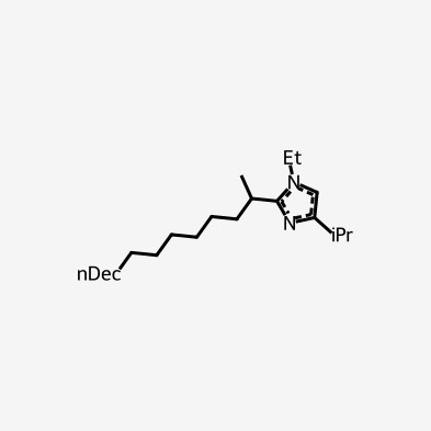 CCCCCCCCCCCCCCCCC(C)c1nc(C(C)C)cn1CC